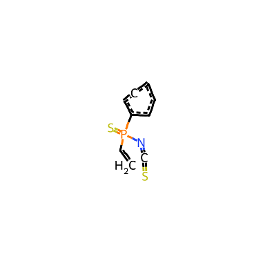 C=CP(=S)(N=C=S)c1ccccc1